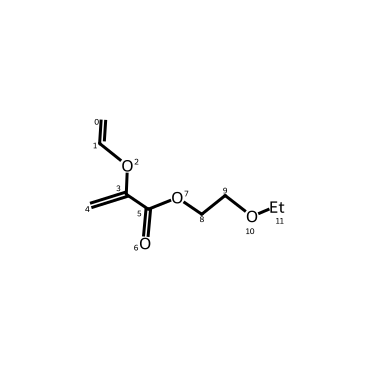 C=COC(=C)C(=O)OCCOCC